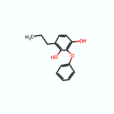 CCCc1ccc(O)c(Oc2ccccc2)c1O